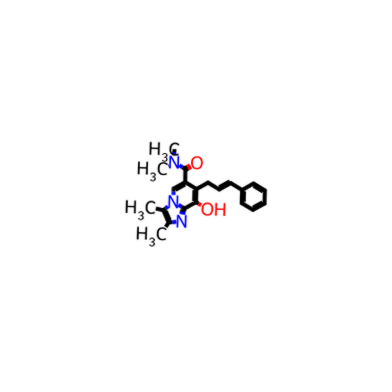 Cc1nc2c(O)c(CC=Cc3ccccc3)c(C(=O)N(C)C)cn2c1C